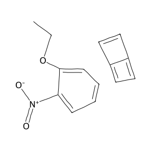 CCOc1ccccc1[N+](=O)[O-].c1cc2ccc1-2